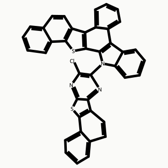 Clc1nc2sc3c4ccccc4ccc3c2nc1-n1c2ccccc2c2c3ccccc3c3c4ccc5ccccc5c4sc3c21